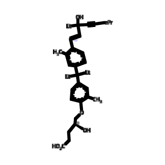 CCCC#CC(O)(/C=C/c1ccc(C(CC)(CC)c2ccc(OC[C@@H](O)CCC(=O)O)c(C)c2)cc1C)CC